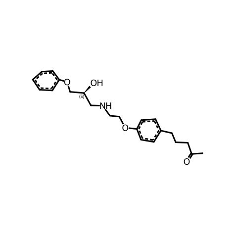 CC(=O)CCCc1ccc(OCCNC[C@H](O)COc2ccccc2)cc1